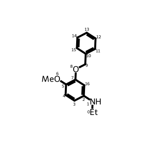 CCNc1ccc(OC)c(OCc2ccccc2)c1